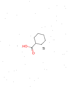 O=C(O)C1CCCCC1.[Tl]